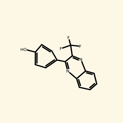 Oc1ccc(-c2nc3ccccc3nc2C(F)(F)F)cc1